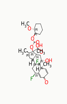 CO[C@@H]1CCCC[C@H]1OC(=O)O[C@]1(C(=O)O)[C@H](C)C[C@H]2[C@@H]3C[C@H](F)C4=CC(=O)C=C[C@]4(C)[C@@]3(F)[C@@H](O)C[C@@]21C